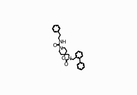 O=C(NCCc1ccccc1)N1CCC2(CC1)CN(Cc1ccccc1-c1ccccc1)C(=O)O2